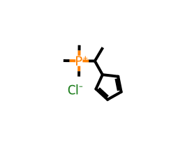 CC(C1C=CC=C1)[P+](C)(C)C.[Cl-]